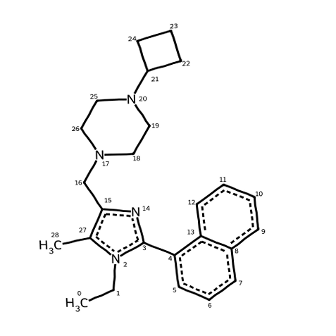 CCn1c(-c2cccc3ccccc23)nc(CN2CCN(C3CCC3)CC2)c1C